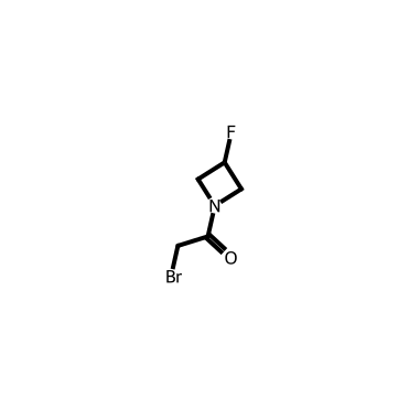 O=C(CBr)N1CC(F)C1